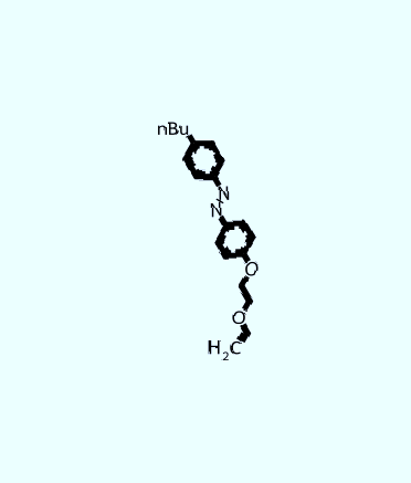 C=COCCOc1ccc(N=Nc2ccc(CCCC)cc2)cc1